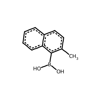 Cc1ccc2ccccc2c1B(O)O